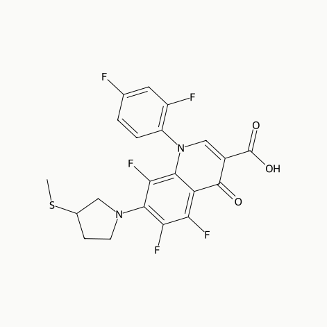 CSC1CCN(c2c(F)c(F)c3c(=O)c(C(=O)O)cn(-c4ccc(F)cc4F)c3c2F)C1